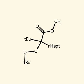 CCCCCCCC(OOC(C)(C)C)(C(=O)OO)C(C)(C)C